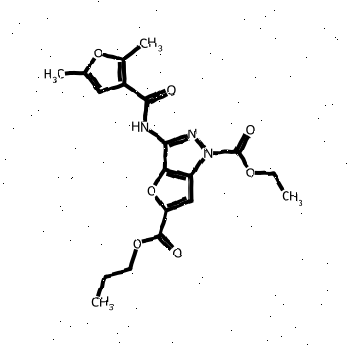 CCCOC(=O)c1cc2c(o1)c(NC(=O)c1cc(C)oc1C)nn2C(=O)OCC